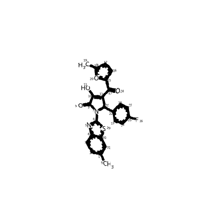 Cc1ccc2nc(N3C(=O)C(O)=C(C(=O)c4ccc(C)o4)C3c3ccc(F)cc3)sc2c1